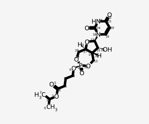 CC(C)OC(=O)CCCO[P@]1(=O)OC[C@H]2[C@@H](O)[C@H](n3ccc(=O)[nH]c3=O)O[C@@H]2CO1